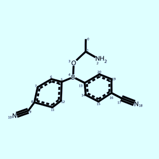 CC(N)OB(c1ccc(C#N)cc1)c1ccc(C#N)cc1